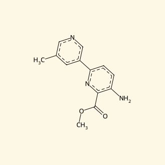 COC(=O)c1nc(-c2cncc(C)c2)ccc1N